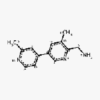 Cc1cc(-c2cnc(CN)c(C)c2)ccn1